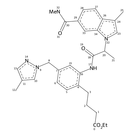 CCOC(=O)CCCc1ccc(Cn2cc(C)cn2)cc1NC(=O)C(C)n1cc(C)c2ccc(C(=O)NC)cc21